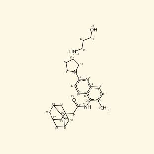 Cc1ccc2nc(N3CC[C@H](NCCCO)C3)ccc2c1NC(=O)CC12CC3CC(CC(C3)C1)C2